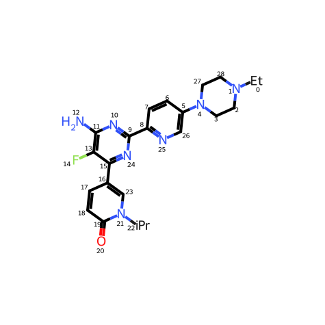 CCN1CCN(c2ccc(-c3nc(N)c(F)c(-c4ccc(=O)n(C(C)C)c4)n3)nc2)CC1